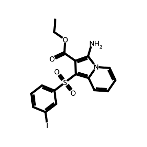 CCOC(=O)c1c(S(=O)(=O)c2cccc(I)c2)c2ccccn2c1N